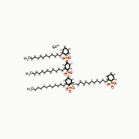 CCCCCCCCCCCCc1ccccc1S(=O)(=O)[O-].CCCCCCCCCCCCc1ccccc1S(=O)(=O)[O-].CCCCCCCCCCCCc1ccccc1S(=O)(=O)[O-].CCCCCCCCCCCCc1ccccc1S(=O)(=O)[O-].[Ce+4]